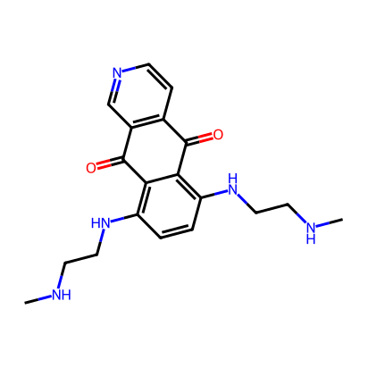 CNCCNc1ccc(NCCNC)c2c1C(=O)c1ccncc1C2=O